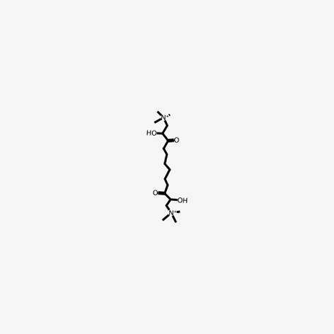 C[N+](C)(C)CC(O)C(=O)CCCCCCC(=O)C(O)C[N+](C)(C)C